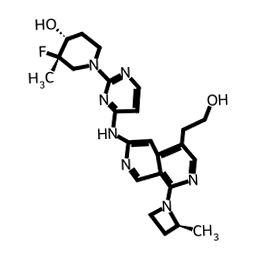 C[C@H]1CCN1c1ncc(CCO)c2cc(Nc3ccnc(N4CC[C@@H](O)[C@@](C)(F)C4)n3)ncc12